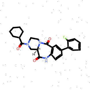 O=C1Nc2ccc(-c3ccccc3F)cc2C(=O)N2CCN(C(=O)C3CCCCC3)C[C@H]12